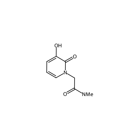 CNC(=O)Cn1cccc(O)c1=O